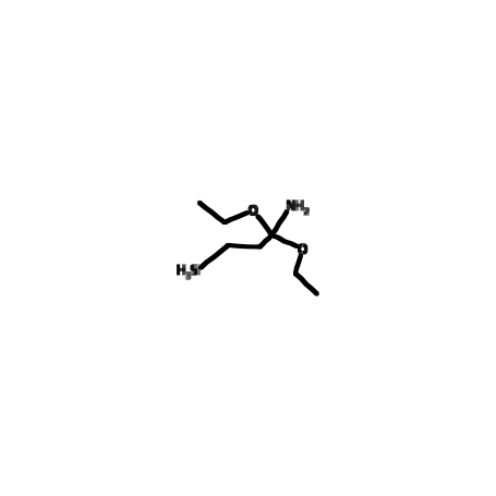 CCOC(N)(CC[SiH3])OCC